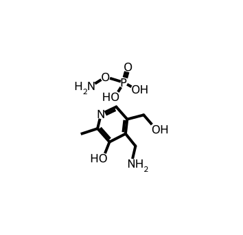 Cc1ncc(CO)c(CN)c1O.NOP(=O)(O)O